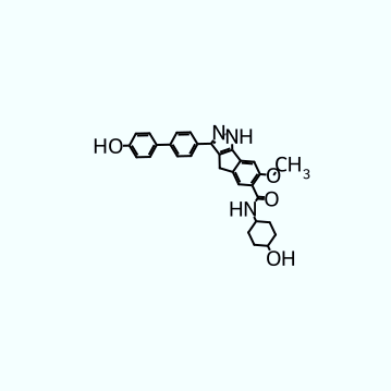 COc1cc2c(cc1C(=O)NC1CCC(O)CC1)Cc1c(-c3ccc(-c4ccc(O)cc4)cc3)n[nH]c1-2